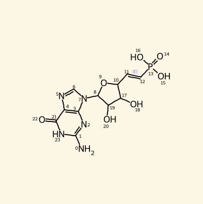 Nc1nc2c(ncn2C2OC(/C=C/P(=O)(O)O)C(O)C2O)c(=O)[nH]1